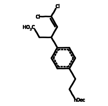 CCCCCCCCCCCCc1ccc(C(C=C(Cl)Cl)CC(=O)O)cc1